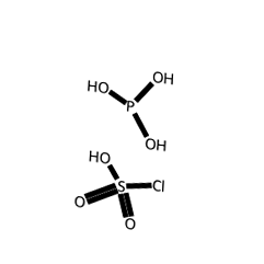 O=S(=O)(O)Cl.OP(O)O